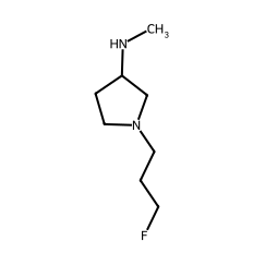 CNC1CCN(CCCF)C1